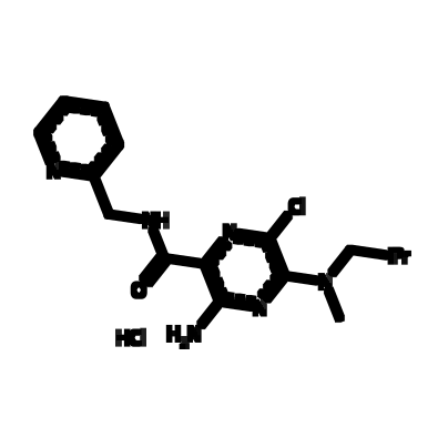 CC(C)CN(C)c1nc(N)c(C(=O)NCc2ccccn2)nc1Cl.Cl